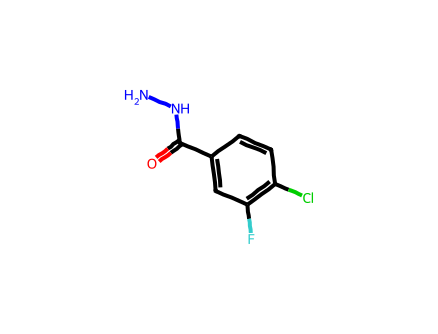 NNC(=O)c1ccc(Cl)c(F)c1